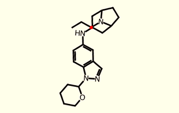 CCCN1C2CCC1CC(Nc1ccc3c(cnn3C3CCCCO3)c1)C2